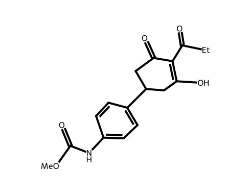 CCC(=O)C1=C(O)CC(c2ccc(NC(=O)OC)cc2)CC1=O